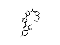 COC1CCN(C(=O)c2cc(-n3cc(-c4cc5cc(F)ccc5[nH]c4=O)nn3)cs2)C1